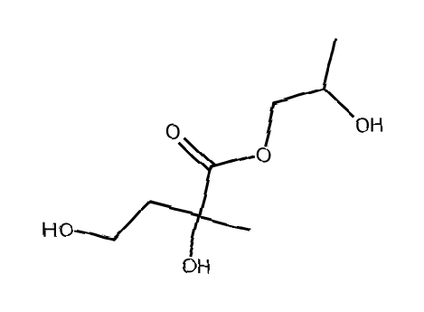 CC(O)COC(=O)C(C)(O)CCO